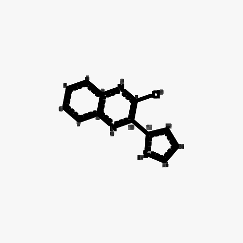 Clc1nc2ccccc2nc1-c1cccs1